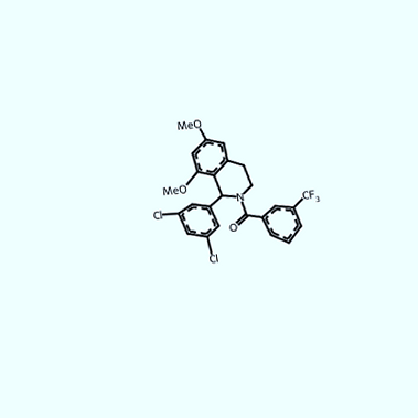 COc1cc2c(c(OC)c1)C(c1cc(Cl)cc(Cl)c1)N(C(=O)c1cccc(C(F)(F)F)c1)CC2